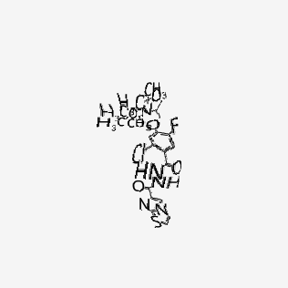 CC(C)(C)OC(=O)N1C(COc2cc(Cl)c(C(=O)NNC(=O)c3cn4ccsc4n3)cc2F)COC1(C)C